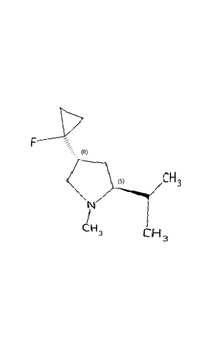 CC(C)[C@@H]1C[C@@H](C2(F)CC2)CN1C